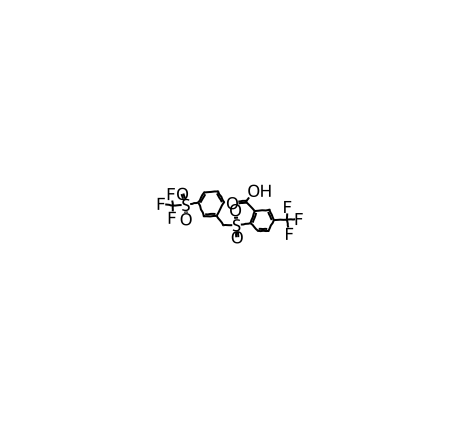 O=C(O)c1cc(C(F)(F)F)ccc1S(=O)(=O)Cc1cccc(S(=O)(=O)C(F)(F)F)c1